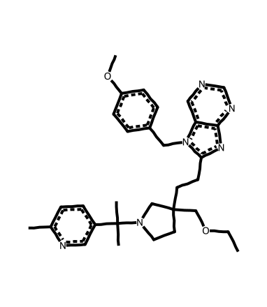 CCOCC1(CCc2nc3ncncc3n2Cc2ccc(OC)cc2)CCN(C(C)(C)c2ccc(C)nc2)C1